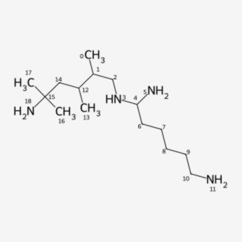 CC(CNC(N)CCCCCN)C(C)CC(C)(C)N